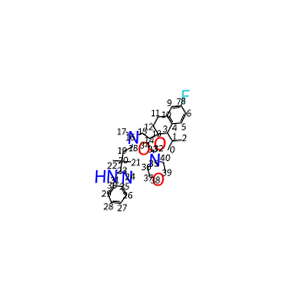 CC(C)C1c2ccc(F)cc2CCC1(CCN(C)CCC(C)(C)c1nc2ccccc2[nH]1)OC(=O)N1CCOCC1